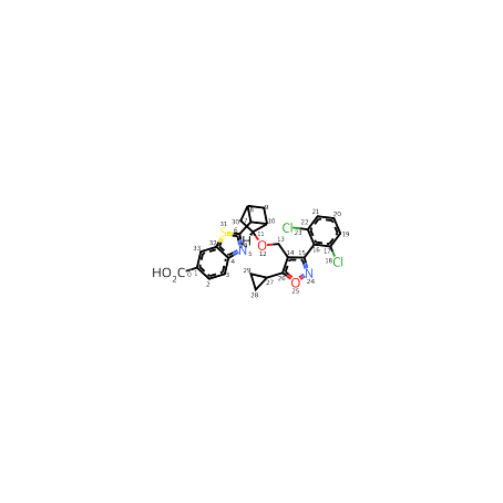 O=C(O)c1ccc2nc(C3C4CC3[C@H](OCc3c(-c5c(Cl)cccc5Cl)noc3C3CC3)C4)sc2c1